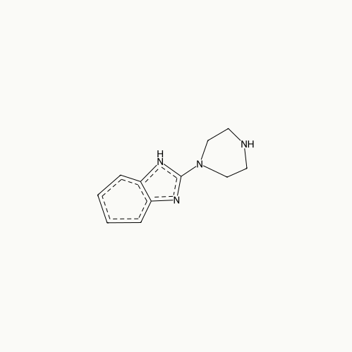 c1ccc2[nH]c(N3CCNCC3)nc2c1